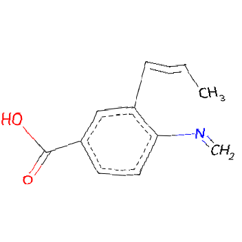 C=Nc1ccc(C(=O)O)cc1/C=C\C